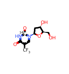 O=c1[nH][14c](=O)n([C@H]2C[C@H](O)[C@@H](CO)O2)cc1C(F)(F)F